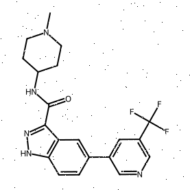 CN1CCC(NC(=O)c2n[nH]c3ccc(-c4cncc(C(F)(F)F)c4)cc23)CC1